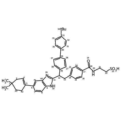 CC1(C)CC=C(c2ccc3[nH]c(C(Cc4ccc(C(=O)NCCS(=O)(=O)O)cc4)c4ccc(-c5ccc(C(C)(C)C)cc5)cc4)nc3c2)CC1